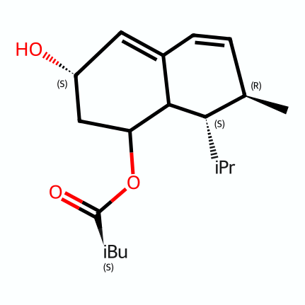 CC[C@H](C)C(=O)OC1C[C@H](O)C=C2C=C[C@@H](C)[C@H](C(C)C)C21